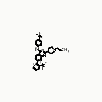 CCCN1CCC(c2nc(Nc3ccc(C(F)(F)F)cc3)c3ccc(-c4ncccc4C(F)(F)F)cc3n2)CC1